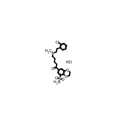 CN(CCCCC(=O)c1cc2c(c(S(N)(=O)=O)c1)OCCO2)CCc1ccccc1Cl.Cl